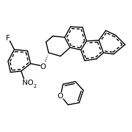 C1=CCOC=C1.O=[N+]([O-])c1ccc(F)cc1O[C@@H]1CCc2ccc3c(ccc4ccccc43)c2C1